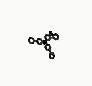 c1ccc2c(c1)sc1ccc(N(c3ccc(C4CCCCC4)cc3)c3ccc(C4CC5CCC4C5)cc3)cc12